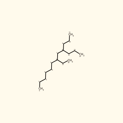 CCCCCCC([CH]C(CCC)CCC)CC